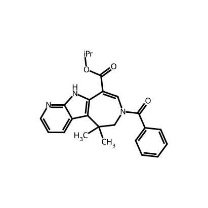 CC(C)OC(=O)C1=CN(C(=O)c2ccccc2)CC(C)(C)c2c1[nH]c1ncccc21